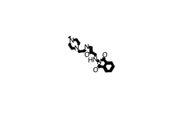 CN1CCN(Cc2ncc(CNN3C(=O)c4ccccc4C3=O)o2)CC1